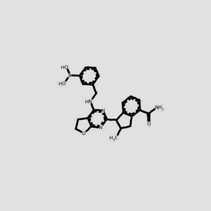 CC1Cc2c(C(N)=O)cccc2C1c1nc(NCc2cccc(B(O)O)c2)c2c(n1)OCC2